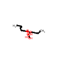 CCCC/C=C\CCCCCCCC(=O)O[C@H](COC(=O)CCCCCC/C=C\C/C=C\C/C=C\CCCCC)COP(=O)(O)OC[C@@H](O)CO